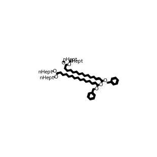 CCCCCCCOC(CCCCCCCCCCCC=CC(OCc1ccccc1)OC(C=CCCCCCCCCCCCC(OCCCCCCC)OCCCCCCC)OCc1ccccc1)OCCCCCCC